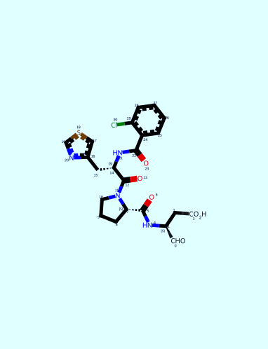 O=C[C@H](CC(=O)O)NC(=O)[C@@H]1CCCN1C(=O)[C@H](Cc1cscn1)NC(=O)c1ccccc1Cl